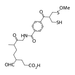 COSCC(CS)C(=O)c1ccc(C(=O)NCC(=O)C(C)CCC(C=O)CCC(=O)O)cc1